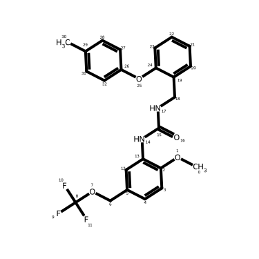 COc1ccc(COC(F)(F)F)cc1NC(=O)NCc1ccccc1Oc1ccc(C)cc1